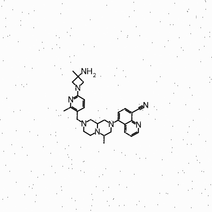 Cc1nc(N2CC(C)(N)C2)ccc1CN1CCN2C(C)CN(c3ccc(C#N)c4ncccc34)CC2C1